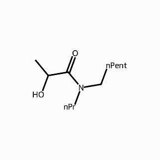 CCCCCCN(CCC)C(=O)C(C)O